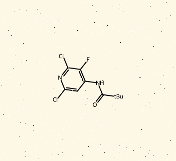 CC(C)(C)C(=O)Nc1cc(Cl)nc(Cl)c1F